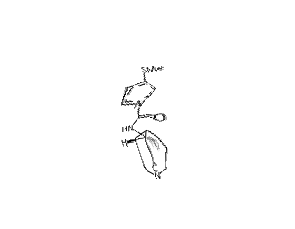 CSc1ccn(C(=O)N[C@H]2CN3CCC2CC3)c1